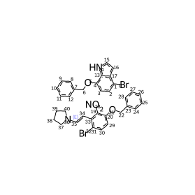 Brc1ccc(OCc2ccccc2)c2[nH]ccc12.O=[N+]([O-])c1c(OCc2ccccc2)ccc(Br)c1/C=C/N1CCCC1